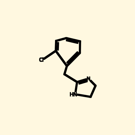 Clc1ccccc1CC1=NCCN1